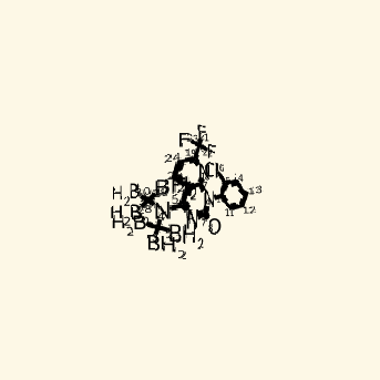 BC(B)(B)N(c1nc(=O)n(-c2ccccc2Cl)c2nc(C(F)(F)F)ccc12)C(B)(B)B